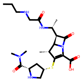 CCCNCC(=O)N[C@H](C)[C@H]1C(=O)N2C(C(=O)O)=C(S[C@@H]3CN[C@H](C(=O)N(C)C)C3)[C@H](C)C12